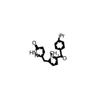 CC(C)c1ccc(C(=O)c2ccc(Cc3ccc(=O)[nH]n3)n2C)cc1